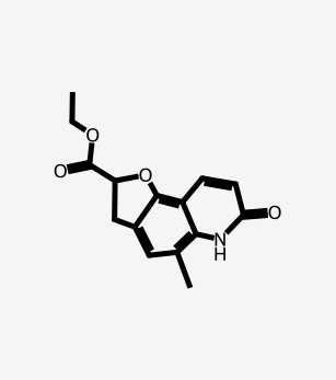 CCOC(=O)C1Cc2cc(C)c3[nH]c(=O)ccc3c2O1